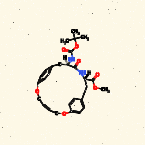 COC(=O)[C@@H]1Cc2ccc(cc2)OC/C=C\COc2ccc(cc2)C[C@@H](NC(=O)OC(C)(C)C)C(=O)N1